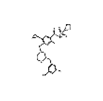 O=C(NS(=O)(=O)N1CCC1)c1cc(C2CC2)c(CN2CCO[C@H](Cc3cc(Cl)cc(Cl)c3)C2)cc1F